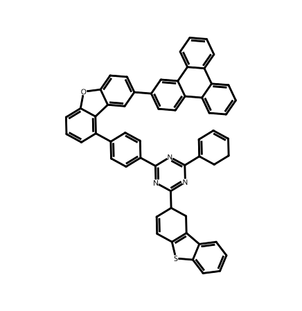 C1=CCCC(c2nc(-c3ccc(-c4cccc5oc6ccc(-c7ccc8c9ccccc9c9ccccc9c8c7)cc6c45)cc3)nc(C3C=Cc4sc5ccccc5c4C3)n2)=C1